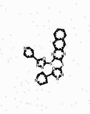 c1ccc2cc3nc(Sc4nnc(-c5ccncc5)o4)c(Sc4nnc(-c5ccncc5)o4)nc3cc2c1